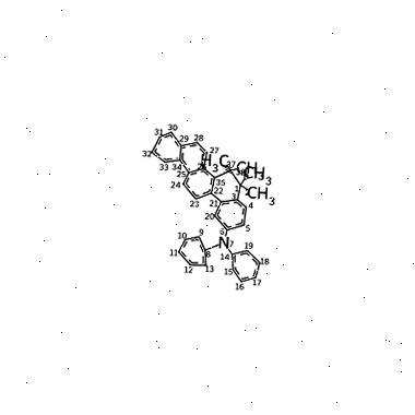 CC1(C)c2ccc(N(c3ccccc3)c3ccccc3)cc2-c2ccc3c(ccc4ccccc43)c2C1(C)C